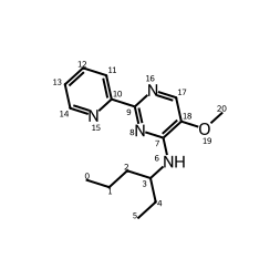 CCCC(CC)Nc1nc(-c2ccccn2)ncc1OC